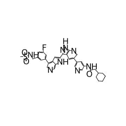 CS(=O)(=O)NCc1cc(F)cc(-c2cncc3[nH]c(-c4n[nH]c5ncc(-c6cncc(NC(=O)CC7CCCCC7)c6)cc45)cc23)c1